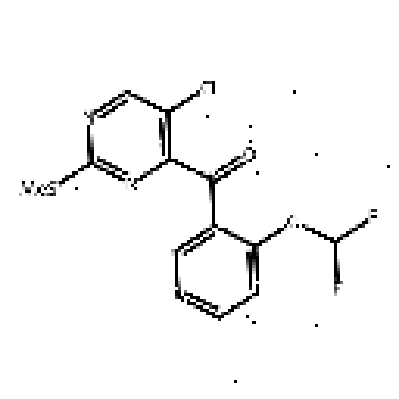 CSc1ncc(Cl)c(C(=O)c2ccccc2OC(F)F)n1